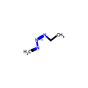 C=N/N=N\CC